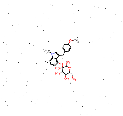 COc1ccc(Cc2cn(C)c3cccc(O[C@]4(O)[C@@H](O)O[C@H](CO)[C@@H](O)[C@@H]4O)c23)cc1